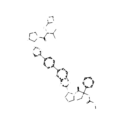 CCC(NC(=O)OC)(C(=O)N1CCC[C@H]1c1nc2ccc(-c3ccc(-c4cnc([C@@H]5CCCN5C(=O)[C@@H](NC5OCO5)C(C)C)[nH]4)cc3)cc2[nH]1)c1ccccc1